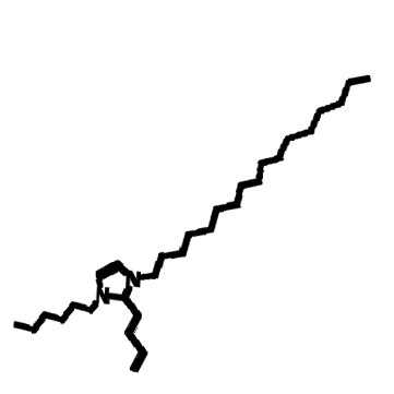 CCCCCCCCCCCCCCCCCN1C=CN(CCCCCC)C1CCCC